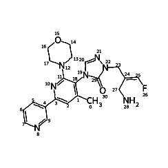 Cc1cc(-c2cccnc2)nc(N2CCOCC2)c1-n1cnn(C/C(=C/F)CN)c1=O